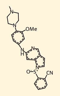 COc1cc(Nc2cc3c(ccn3[S+]([O-])c3ccccc3C#N)cn2)ccc1N1CCN(C)CC1